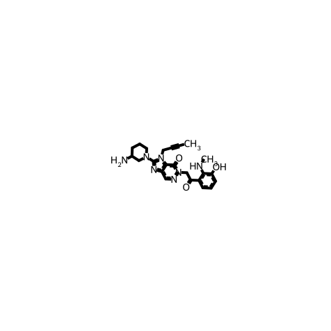 CC#CCn1c(N2CCCC(N)C2)nc2cnn(CC(=O)c3cccc(O)c3NC)c(=O)c21